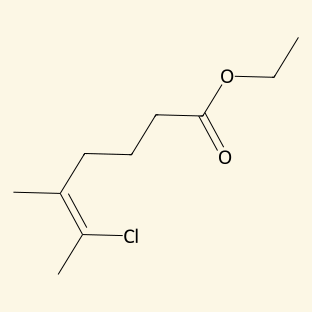 CCOC(=O)CCCC(C)=C(C)Cl